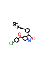 Cn1c(=O)cc(-c2cccc(C#CC(C)(C)O[Si](C)(C)C)c2)c2cc(C(=O)c3ccc(Cl)cc3)ccc21